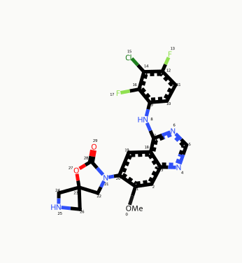 COc1cc2ncnc(Nc3ccc(F)c(Cl)c3F)c2cc1N1CC2(CNC2)OC1=O